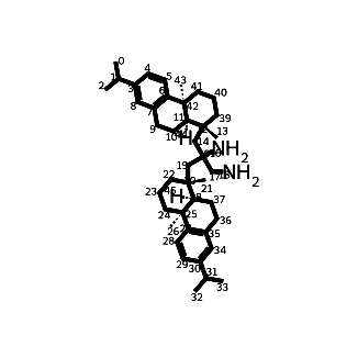 CC(C)c1ccc2c(c1)CC[C@@H]1[C@@](C)(CC(N)(CN)C[C@@]3(C)CCC[C@]4(C)c5ccc(C(C)C)cc5CC[C@H]34)CCC[C@]21C